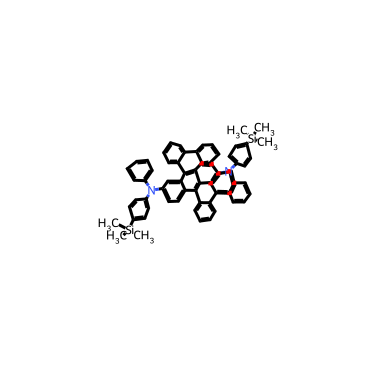 C[Si](C)(C)c1ccc(N(c2ccccc2)c2ccc3c(-c4ccccc4-c4ccccc4)c4cc(N(c5ccccc5)c5ccc([Si](C)(C)C)cc5)ccc4c(-c4ccccc4-c4ccccc4)c3c2)cc1